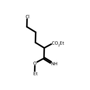 CCOC(=N)C(CCCCl)C(=O)OCC